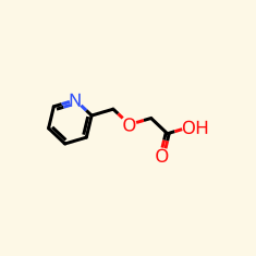 O=C(O)COCc1ccccn1